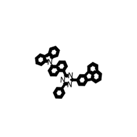 c1ccc(-c2nc(-c3ccc4c(c3)-c3cccc5cccc-4c35)nc(-c3cccc4c(-n5c6ccccc6c6ccccc65)cccc34)n2)cc1